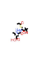 CCC(=O)SC[C@H](NC(=O)[C@H](CCC(=O)O)NC(C)C)C(O)C(C)(C)C